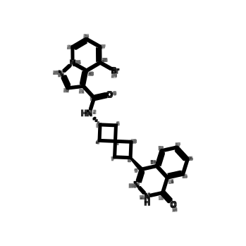 O=C(N[C@H]1CC2(C1)C[C@H](c1n[nH]c(=O)c3ccccc31)C2)c1cnn2cccc(Br)c12